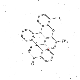 Cc1cccc2c1Oc1c(C)ccc3c1N2c1ccccc1C31c2ccccc2C(=O)c2ccccc21